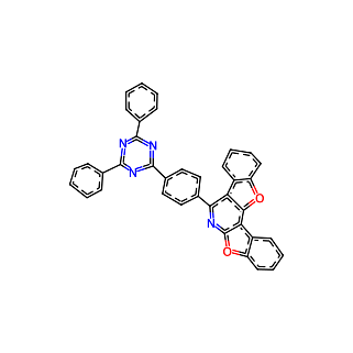 c1ccc(-c2nc(-c3ccccc3)nc(-c3ccc(-c4nc5oc6ccccc6c5c5oc6ccccc6c45)cc3)n2)cc1